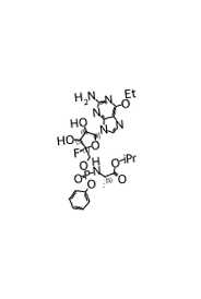 CCOc1nc(N)nc2c1ncn2[C@@H]1O[C@](F)(COP(=O)(N[C@@H](C)C(=O)OC(C)C)Oc2ccccc2)[C@@H](O)[C@H]1O